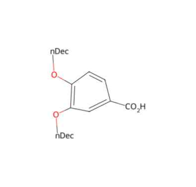 CCCCCCCCCCOc1ccc(C(=O)O)cc1OCCCCCCCCCC